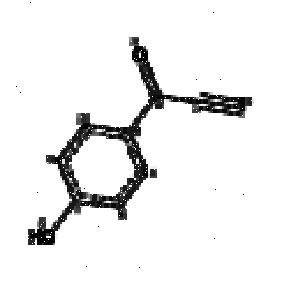 C#CC(=O)c1ccc(O)cc1